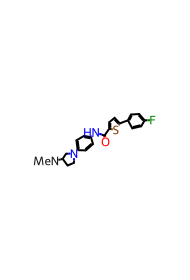 CNC1CCN(c2ccc(NC(=O)c3ccc(-c4ccc(F)cc4)s3)cc2)C1